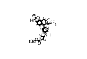 C[C@@H]1Cc2c(ccc3[nH]c(=O)oc23)[C@@H](c2ccc(NC3CN(C(=O)OC(C)(C)C)C3)cn2)N1CC(F)(F)F